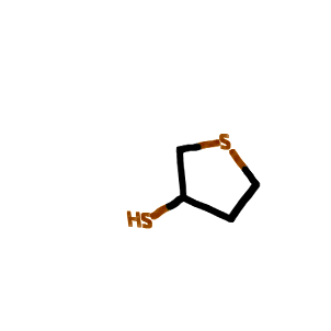 SC1CCSC1